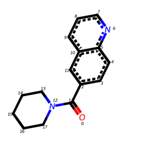 O=C(c1ccc2ncccc2c1)N1CCCCC1